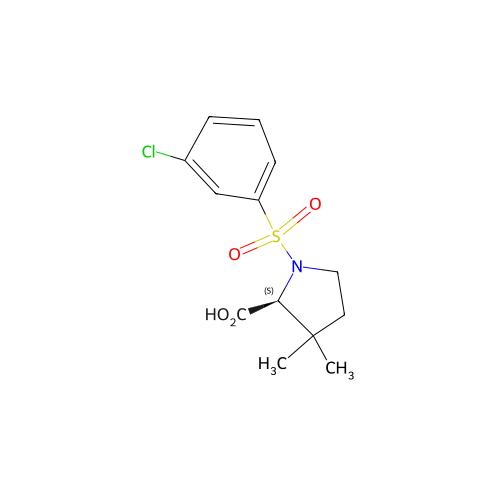 CC1(C)CCN(S(=O)(=O)c2cccc(Cl)c2)[C@@H]1C(=O)O